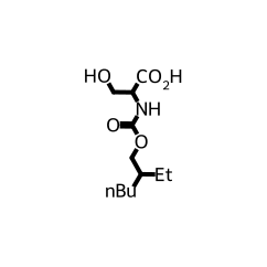 CCCCC(CC)COC(=O)NC(CO)C(=O)O